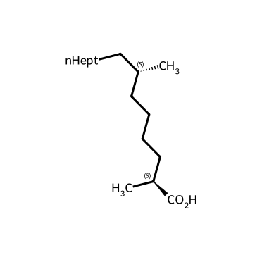 CCCCCCCC[C@H](C)CCCC[C@H](C)C(=O)O